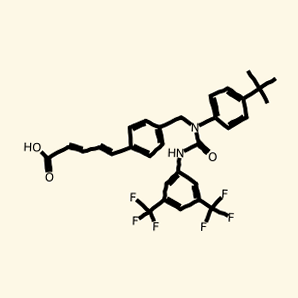 CC(C)(C)c1ccc(N(Cc2ccc(C=CC=CC(=O)O)cc2)C(=O)Nc2cc(C(F)(F)F)cc(C(F)(F)F)c2)cc1